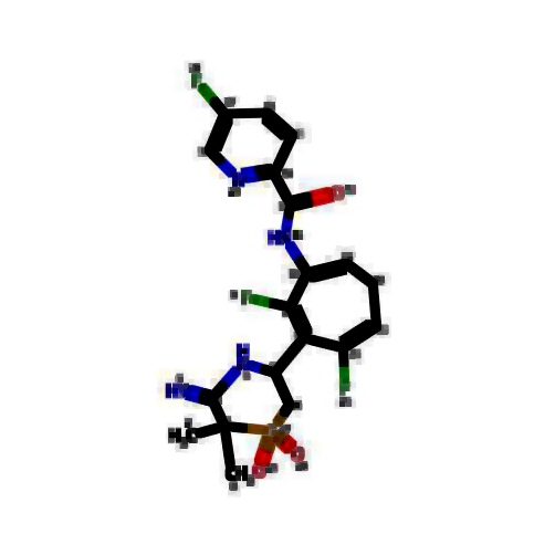 CC1(C)C(=N)NC(C2=C(F)C(NC(=O)c3ccc(F)cn3)=CCC=C2F)CS1(=O)=O